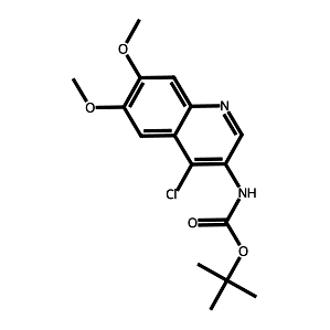 COc1cc2ncc(NC(=O)OC(C)(C)C)c(Cl)c2cc1OC